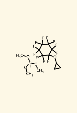 CO[SiH](OC)OC.FC1(F)C(F)(F)C(F)(F)C(F)(OC2CC2)C(F)(F)C1(F)F